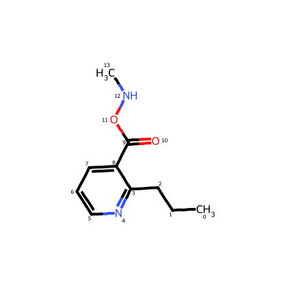 CCCc1ncccc1C(=O)ONC